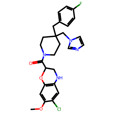 COc1cc2c(cc1Cl)NCC(C(=O)N1CCC(Cc3ccc(F)cc3)(Cn3ccnc3)CC1)O2